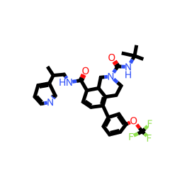 CC(CNC(=O)C1C=CC(c2cccc(OC(F)(F)F)c2)=C2CCN(C(=O)NC(C)(C)C)CC21)c1cccnc1